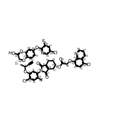 C#CC(C)Oc1cc(N2C(=O)C3=C(CCCC3)C2=O)c(F)cc1Cl.C[C@@H](Oc1ccc(Oc2ncc(Cl)cc2F)cc1)C(=O)O.O=C(O)COc1ccc(Cl)c2cccnc12